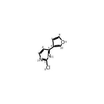 Clc1nccc(-c2ccoc2)n1